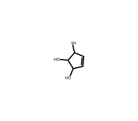 OC1C=CC(S)C1O